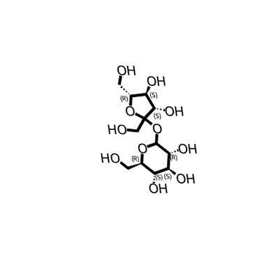 OC[C@H]1OC(CO)(OC2O[C@H](CO)[C@@H](O)[C@H](O)[C@H]2O)[C@@H](O)[C@@H]1O